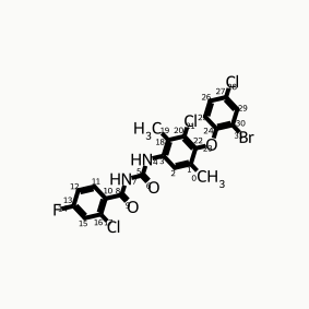 Cc1cc(NC(=O)NC(=O)c2ccc(F)cc2Cl)c(C)c(Cl)c1Oc1ccc(Cl)cc1Br